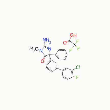 CN1C(=O)C(c2ccccc2)(c2cccc(-c3ccc(F)c(Cl)c3)c2)N=C1N.O=C(O)C(F)(F)F